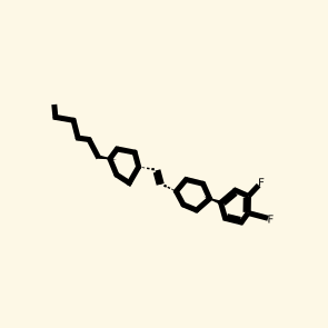 CCCCCC[C@H]1CC[C@H](C=C[C@H]2CC[C@H](c3ccc(F)c(F)c3)CC2)CC1